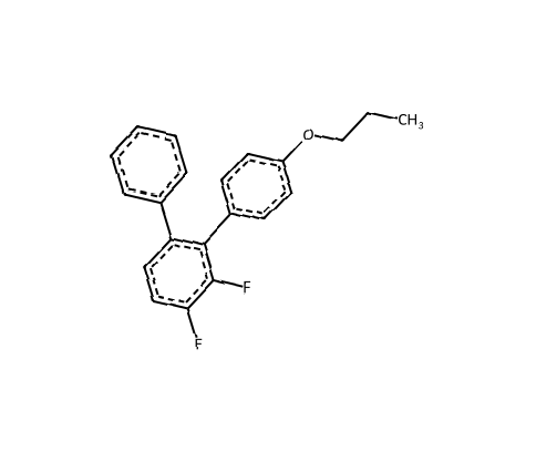 CCCOc1ccc(-c2c(-c3ccccc3)ccc(F)c2F)cc1